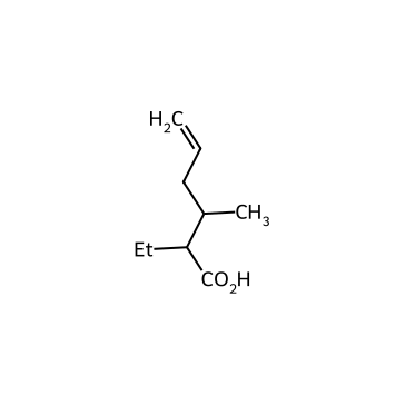 C=CCC(C)C(CC)C(=O)O